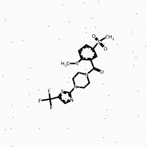 CSc1ccc(S(C)(=O)=O)cc1C(=O)N1CCN(c2ncc(C(F)(F)F)s2)CC1